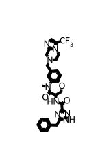 CN1C(=O)C(NC(=O)c2n[nH]c(Cc3ccccc3)n2)COc2ccc(CN3CCn4c(C(F)(F)F)cnc4C3)cc21